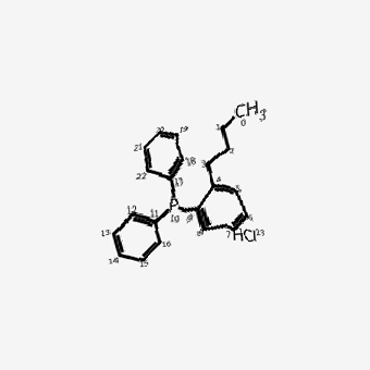 CCCCc1ccccc1P(c1ccccc1)c1ccccc1.Cl